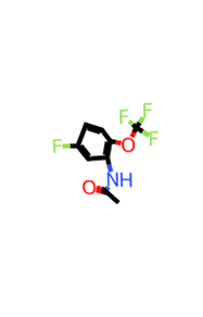 CC(=O)Nc1cc(F)ccc1OC(F)(F)F